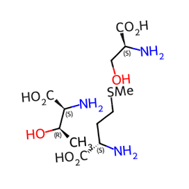 CSCC[C@H](N)C(=O)O.C[C@@H](O)[C@H](N)C(=O)O.N[C@@H](CO)C(=O)O